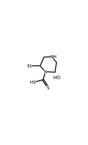 CCC1CNCCN1C(=S)S.Cl